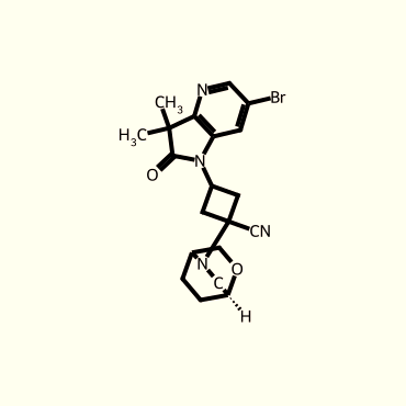 CC1(C)C(=O)N(C2CC(C#N)(N3C[C@@H]4CCC3CO4)C2)c2cc(Br)cnc21